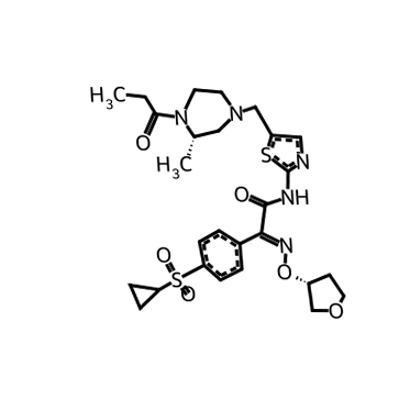 CCC(=O)N1CCN(Cc2cnc(NC(=O)/C(=N/O[C@@H]3CCOC3)c3ccc(S(=O)(=O)C4CC4)cc3)s2)C[C@@H]1C